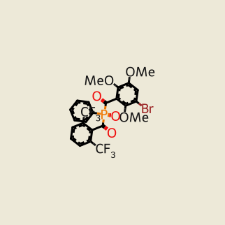 COc1cc(Br)c(OC)c(C(=O)P(=O)(C(=O)c2c(C(F)(F)F)cccc2C(F)(F)F)c2ccccc2)c1OC